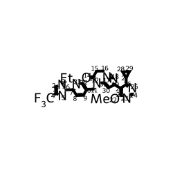 CCn1cc(C(F)(F)F)nc1-c1ccc(CN2C(=O)CCn3nc(-c4c(OC)ncnc4C4CC4)cc32)cn1